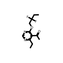 CCc1ncnc(OCC(F)(F)CC)c1C(C)=O